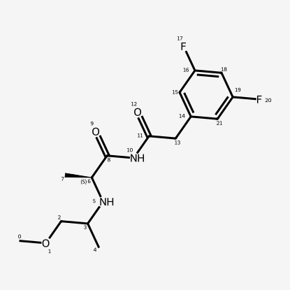 COCC(C)N[C@@H](C)C(=O)NC(=O)Cc1cc(F)cc(F)c1